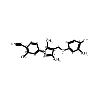 Cc1cc(OCc2c(C)nn(-c3ccc(C#N)c(Cl)c3)c2C)ccc1F